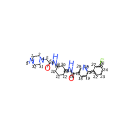 CN1CCN(CC(=O)N[C@@H]2CCC[C@H](NC(=O)c3ccc(-c4cccc(F)c4)nc3)C2)CC1